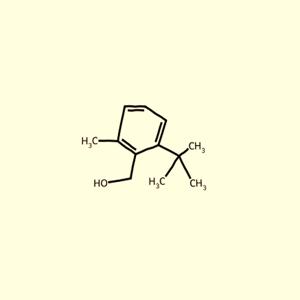 Cc1cccc(C(C)(C)C)c1CO